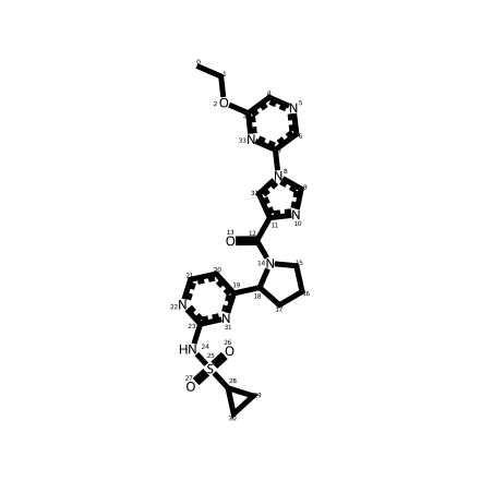 CCOc1cncc(-n2cnc(C(=O)N3CCCC3c3ccnc(NS(=O)(=O)C4CC4)n3)c2)n1